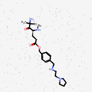 CCC(C)N[C@@H](CCC(=O)OCc1ccc(CNCCN2CCCC2)cc1)C(=O)C(C)(N)CC